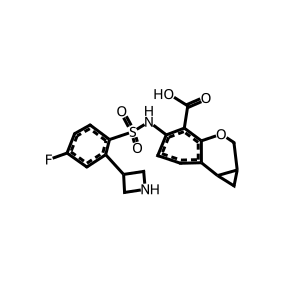 O=C(O)c1c(NS(=O)(=O)c2ccc(F)cc2C2CNC2)ccc2c1OCC1CC21